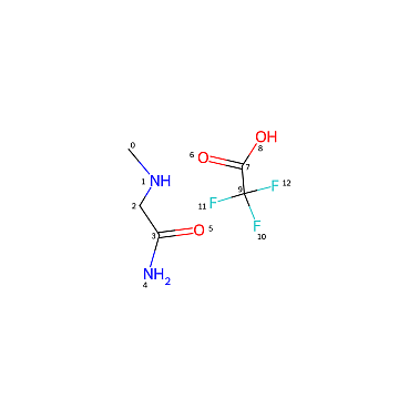 CNCC(N)=O.O=C(O)C(F)(F)F